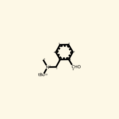 CN(Cc1ccccc1C=O)C(C)(C)C